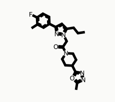 CCCc1cc(-c2ccc(F)c(C)c2)nn1CC(=O)N1CCC(c2nnc(C)o2)CC1